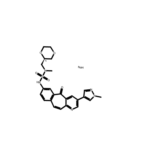 CN(C[C@@H]1COCCO1)S(=O)(=O)Nc1ccc2ccc3ncc(-c4cnn(C)c4)cc3c(=O)c2c1.[NaH]